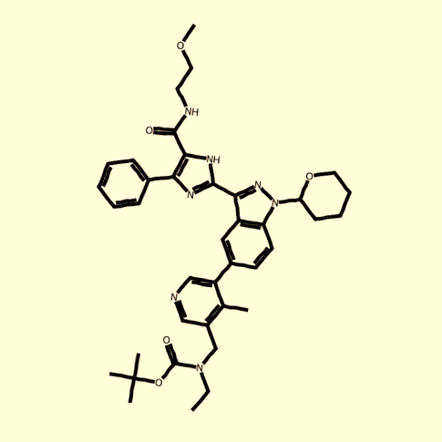 CCN(Cc1cncc(-c2ccc3c(c2)c(-c2nc(-c4ccccc4)c(C(=O)NCCOC)[nH]2)nn3C2CCCCO2)c1C)C(=O)OC(C)(C)C